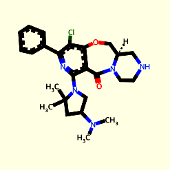 CN(C)C1CN(c2nc(-c3ccccc3)c(Cl)c3c2C(=O)N2CCNC[C@@H]2CO3)C(C)(C)C1